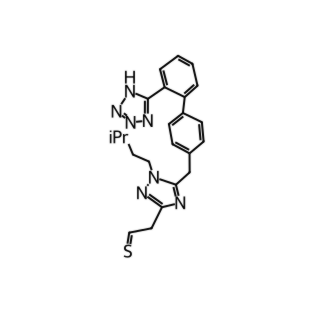 CC(C)CCn1nc(CC=S)nc1Cc1ccc(-c2ccccc2-c2nnn[nH]2)cc1